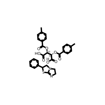 Cc1ccc(C(=O)O[C@H](C(=O)O)[C@H](OC(=O)c2ccc(C)cc2)C(=O)O)cc1.c1ccc(C2CN3CCN=C3S2)cc1